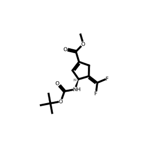 COC(=O)C1=C[C@H](NC(=O)OC(C)(C)C)C(=C(F)F)C1